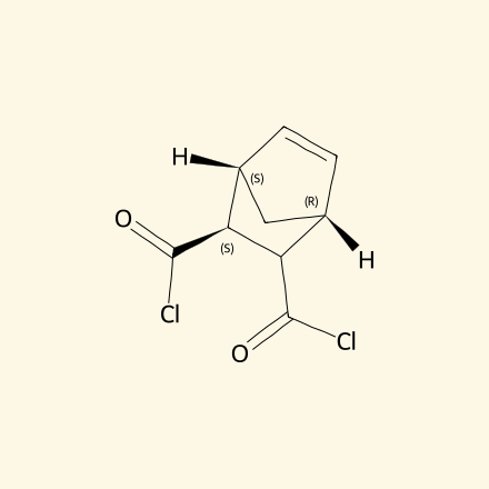 O=C(Cl)C1[C@@H](C(=O)Cl)[C@@H]2C=C[C@H]1C2